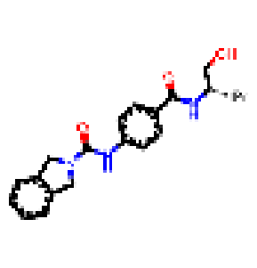 CCC[C@@H](CO)NC(=O)c1ccc(NC(=O)N2Cc3ccccc3C2)cc1